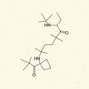 CCC(NC(C)(C)C)C(=O)C(C)(C)CCC(C)(C)NC1(C(=O)C(C)(C)C)CCC1